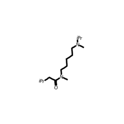 CC(C)CC(=O)N(C)CCCCCN(C)C(C)C